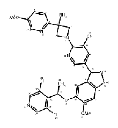 COc1ccc(C2(N)CN(c3ncc(-c4n[nH]c5cc(OC)c(O[C@H](C)c6c(Cl)cncc6Cl)cc45)cc3C#N)C2)nn1